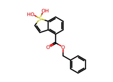 O=C(OCc1ccccc1)c1cccc2c1C=CS2(O)O